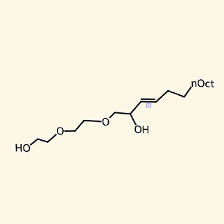 CCCCCCCCCC/C=C/C(O)COCCOCCO